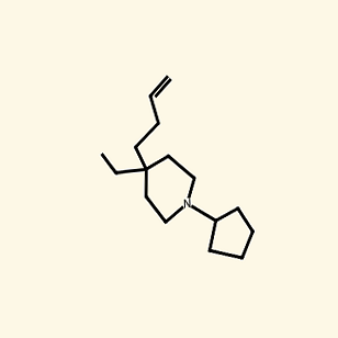 C=CCCC1(CC)CCN(C2CCCC2)CC1